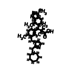 Cc1ccc([C@@H](c2ccc3c(nnn3C)c2C)C(C)(C)C(=O)O)cc1Cn1ccnc1CN1CCCCCC1